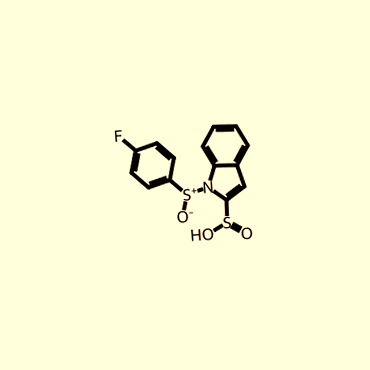 O=S(O)c1cc2ccccc2n1[S+]([O-])c1ccc(F)cc1